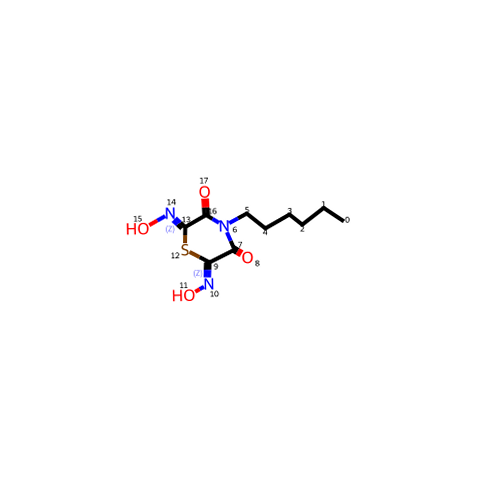 CCCCCCN1C(=O)/C(=N/O)S/C(=N\O)C1=O